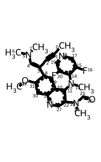 CC#C/C(=C\N(C)C)c1cc2c(N(C)c3c(F)cncc3F)c(N(C)C=O)cnc2cc1OC